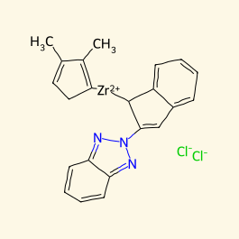 CC1=CC[C]([Zr+2][CH]2C(n3nc4ccccc4n3)=Cc3ccccc32)=C1C.[Cl-].[Cl-]